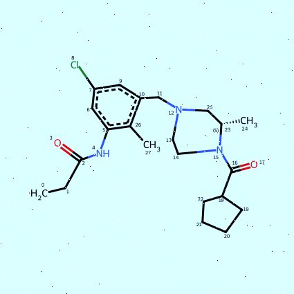 [CH2]CC(=O)Nc1cc(Cl)cc(CN2CCN(C(=O)C3CCCC3)[C@@H](C)C2)c1C